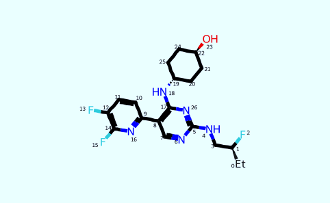 CC[C@H](F)CNc1ncc(-c2ccc(F)c(F)n2)c(N[C@H]2CC[C@H](O)CC2)n1